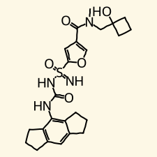 CN(CC1(O)CCC1)C(=O)c1coc(S(=N)(=O)NC(=O)Nc2c3c(cc4c2CCC4)CCC3)c1